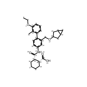 CCOc1cccc(-c2ccc(NC(=O)[C@H]3CCCC[C@H]3C(=O)O)cc2COC2CC3CC3C2)c1C